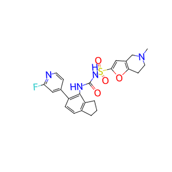 CN1CCc2oc(S(=O)(=O)NC(=O)Nc3c(-c4ccnc(F)c4)ccc4c3CCC4)cc2C1